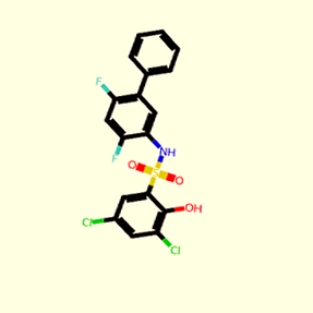 O=S(=O)(Nc1cc(-c2ccccc2)c(F)cc1F)c1cc(Cl)cc(Cl)c1O